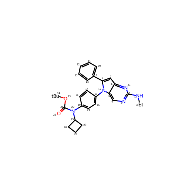 CCNc1ncc2c(cc(-c3ccccc3)n2-c2ccc(N(C(=O)OC(C)(C)C)C3CCC3)cc2)n1